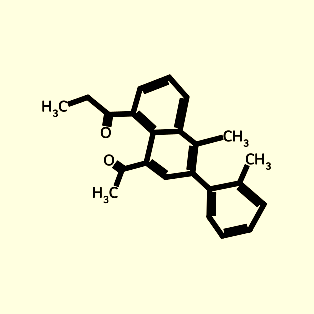 CCC(=O)c1cccc2c(C)c(-c3ccccc3C)cc(C(C)=O)c12